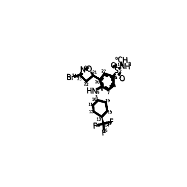 CNS(=O)(=O)c1ccc(N[C@H]2CC[C@H](C(F)(F)F)CC2)c(C2CC(Br)=NO2)c1